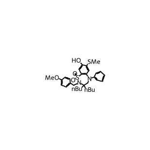 CCCCC1(CCCC)CN(c2ccccc2)c2cc(SC)c(O)cc2S(=O)(=O)N1Cc1ccc(OC)cc1